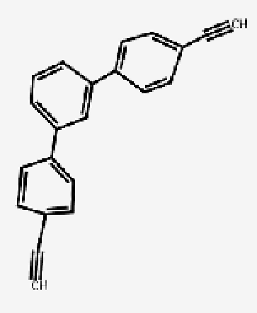 C#Cc1ccc(-c2cccc(-c3ccc(C#C)cc3)c2)cc1